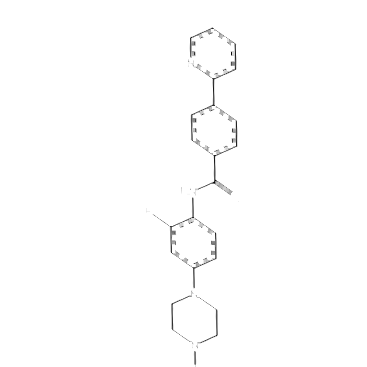 CC(C)N1CCN(c2ccc(NC(=O)c3ccc(-c4ccccn4)cc3)c(F)c2)CC1